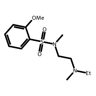 CCN(C)CCN(C)S(=O)(=O)c1ccccc1OC